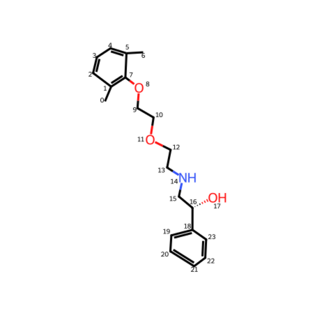 Cc1cccc(C)c1OCCOCCNC[C@H](O)c1ccccc1